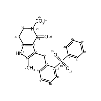 Cc1[nH]c2c(c1Cc1ccccc1S(=O)(=O)c1ccccc1)C(=O)N(C(=O)O)CC2